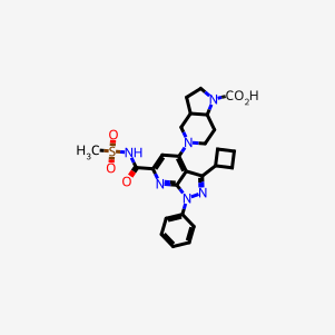 CS(=O)(=O)NC(=O)c1cc(N2CCC3C(CCN3C(=O)O)C2)c2c(C3CCC3)nn(-c3ccccc3)c2n1